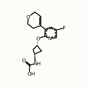 O=C(O)N[C@H]1C[C@H](Oc2ncc(F)cc2C2=CCOCC2)C1